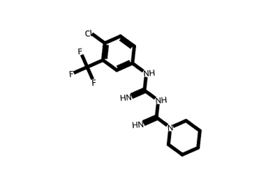 N=C(NC(=N)N1CCCCC1)Nc1ccc(Cl)c(C(F)(F)F)c1